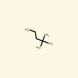 [CH2]C(C)(C)CCC